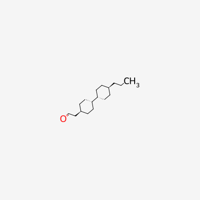 CCC[C@H]1CC[C@H]([C@H]2CC[C@H](CC=O)CC2)CC1